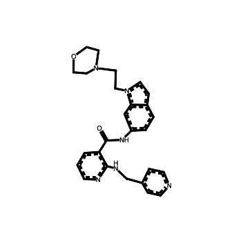 O=C(Nc1ccc2ccn(CCN3CCOCC3)c2c1)c1cccnc1NCc1ccncc1